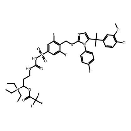 CC[N+](CC)(CC)C(CCNC(=O)NS(=O)(=O)c1cc(F)c(CSc2ncc(C(C)(C)c3ccc(Cl)c(OC)c3)n2-c2ccc(F)cc2)c(F)c1)OC(=O)C(F)(F)F